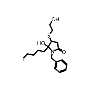 O=C1CC(SCCO)C(O)(CCCCI)N1Cc1ccccc1